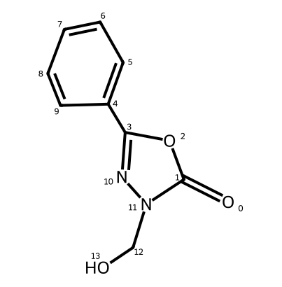 O=c1oc(-c2ccccc2)nn1CO